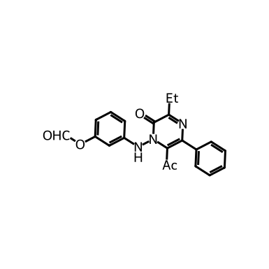 CCc1nc(-c2ccccc2)c(C(C)=O)n(Nc2cccc(OC=O)c2)c1=O